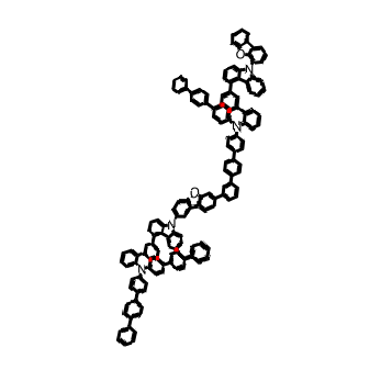 c1ccc(-c2ccc(-c3ccc(N(c4ccc(-c5ccc(-c6ccccc6)cc5)cc4)c4ccccc4-c4cccc(-c5cccc6c5c5ccccc5n6-c5ccc6oc7cc(-c8cccc(-c9ccc(-c%10ccc(N(c%11ccc(-c%12ccc(-c%13ccccc%13)cc%12)cc%11)c%11ccccc%11-c%11cccc(-c%12cccc%13c%12c%12ccccc%12n%13-c%12cccc%13c%12oc%12ccccc%12%13)c%11)cc%10)cc9)c8)ccc7c6c5)c4)cc3)cc2)cc1